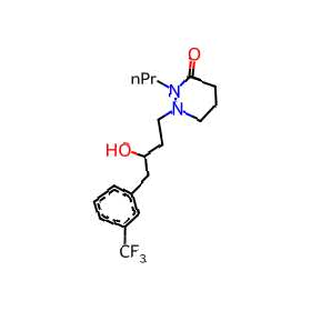 [CH2]CCN1C(=O)CCCN1CCC(O)Cc1cccc(C(F)(F)F)c1